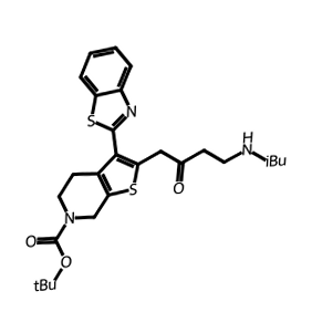 CCC(C)NCCC(=O)Cc1sc2c(c1-c1nc3ccccc3s1)CCN(C(=O)OC(C)(C)C)C2